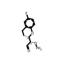 O=C[C@@H](OP)[C@@H]1CCc2cc(F)ccc2O1